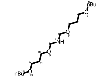 CCCCOCCCOCNCOCCCOCCCC